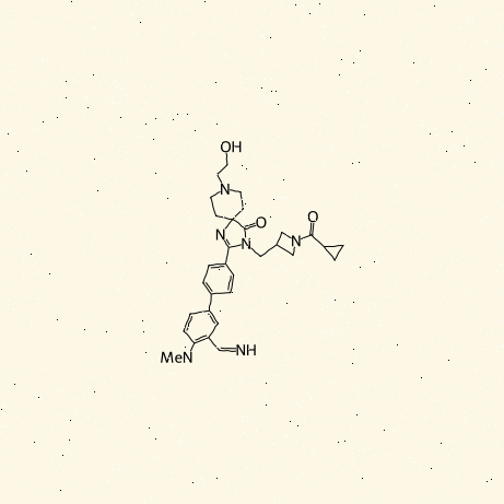 CNc1ccc(-c2ccc(C3=NC4(CCN(CCO)CC4)C(=O)N3CC3CN(C(=O)C4CC4)C3)cc2)cc1C=N